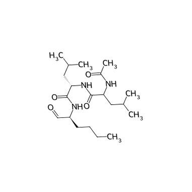 CCCC[C@@H](C=O)NC(=O)[C@H](CC(C)C)NC(=O)C(CC(C)C)NC(C)=O